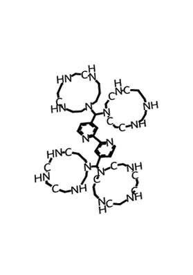 c1cc(C(N2CCCNCCNCCCNCC2)N2CCCNCCNCCCNCC2)cc(-c2cc(C(N3CCCNCCNCCCNCC3)N3CCCNCCNCCCNCC3)ccn2)n1